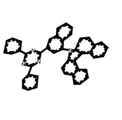 c1ccc(-c2nc(-c3ccccc3)nc(-c3cc(-n4c5ccc6ccccc6c5c5c6ccccc6ccc54)c4ccccc4c3)n2)cc1